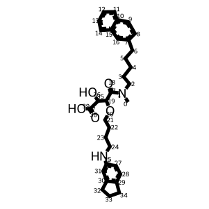 CN(CCCCCc1ccc2ccccc2c1)C(=O)C(OCCCCNc1ccc2c(c1)CCC2)C(O)C(=O)O